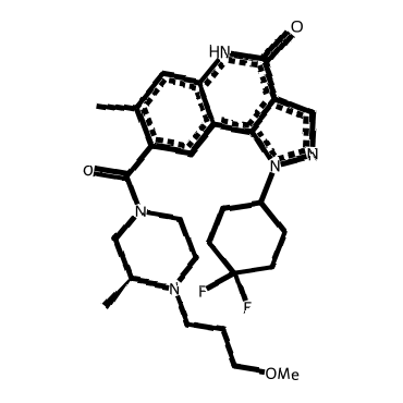 COCCCN1CCN(C(=O)c2cc3c(cc2C)[nH]c(=O)c2cnn(C4CCC(F)(F)CC4)c23)C[C@@H]1C